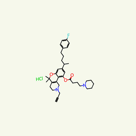 C#CCN1CCC2=C(C1)c1c(OC(=O)CCCN3CCCCC3)cc(C(C)CCCc3ccc(F)cc3)cc1OC2(C)C.Cl